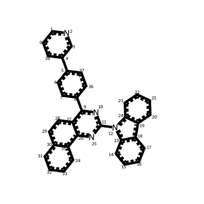 c1cncc(-c2ccc(-c3nc(-n4c5ccccc5c5ccccc54)nc4c3ccc3ccccc34)cc2)c1